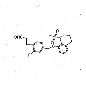 CS(=O)(=O)N1CCCc2cccc(OCc3ccc(CCC=O)c(F)c3)c21